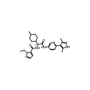 CCn1nccc1C(=O)N[C@H](C(=O)Nc1ccc(-c2c(C)n[nH]c2C)nc1)C1CCC(C)CC1